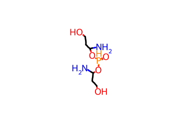 NC(CCO)O[PH](=O)OC(N)CCO